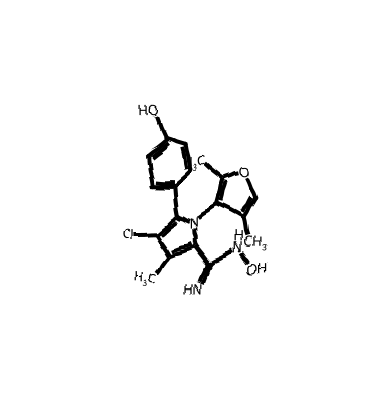 Cc1coc(C)c1-n1c(C(=N)NO)c(C)c(Cl)c1-c1ccc(O)cc1